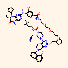 CC[C@@H]1C(=O)N(C)c2cnc(Nc3ccc(C(=O)NCCOCCOCCCN4CCC[C@H]4COc4nc5c(c(N6CCN(C(=O)OCC[Si](C)(C)C)[C@@H](CC#N)C6)n4)CCN(c4cccc6cccc(Cl)c46)C5)cc3OC)nc2N1C1CCCC1